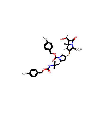 C[C@@H](O)[C@H]1C(=O)N2C(C(=O)O)=C(S[C@H]3C[C@@H](CC(C)(C)NC(=O)OCc4ccc([N+](=O)[O-])cc4)N(C(=O)OCc4ccc([N+](=O)[O-])cc4)C3)[C@H](C)[C@H]12